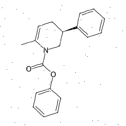 CC1=CC[C@@H](c2ccccc2)CN1C(=O)Oc1ccccc1